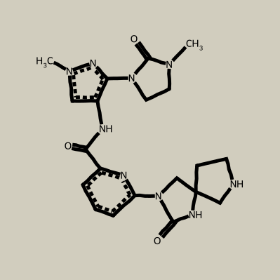 CN1CCN(c2nn(C)cc2NC(=O)c2cccc(N3CC4(CCNC4)NC3=O)n2)C1=O